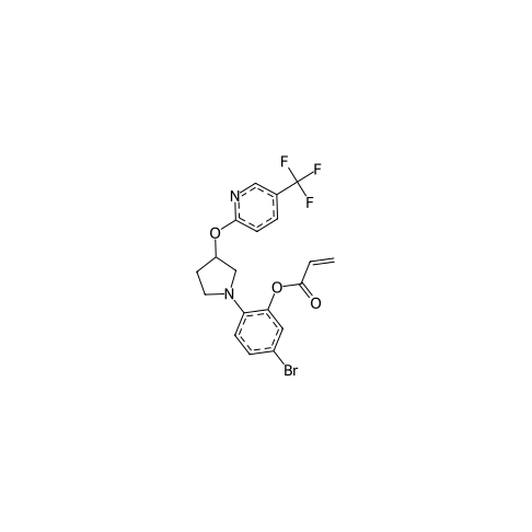 C=CC(=O)Oc1cc(Br)ccc1N1CCC(Oc2ccc(C(F)(F)F)cn2)C1